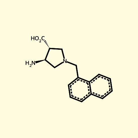 N[C@@H]1CN(Cc2cccc3ccccc23)C[C@H]1C(=O)O